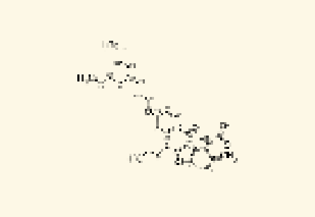 CCCCc1oc2ccc(C)c(N[SH](=O)=O)c2c1C(=O)c1ccc(OCCCN(CCCC)CCCC)cc1